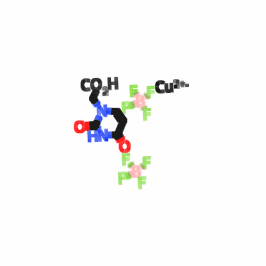 F[B-](F)(F)F.F[B-](F)(F)F.O=C(O)Cn1ccc(=O)[nH]c1=O.[Cu+2]